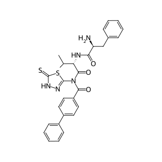 CC(C)[C@H](NC(=O)[C@@H](N)Cc1ccccc1)C(=O)N(C(=O)c1ccc(-c2ccccc2)cc1)c1n[nH]c(=S)s1